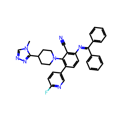 Cn1cnnc1C1CCN(c2c(-c3ccc(F)nc3)ccc(N=C(c3ccccc3)c3ccccc3)c2C#N)CC1